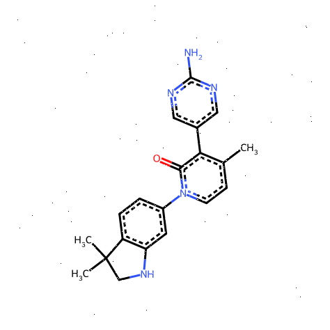 Cc1ccn(-c2ccc3c(c2)NCC3(C)C)c(=O)c1-c1cnc(N)nc1